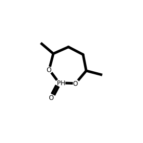 CC1CCC(C)O[PH](=O)O1